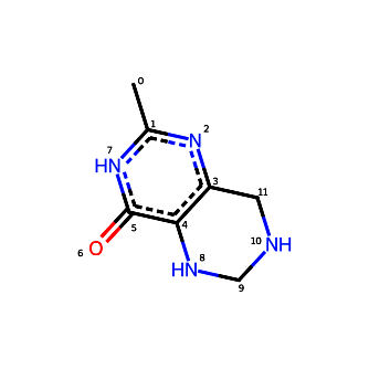 Cc1nc2c(c(=O)[nH]1)NCNC2